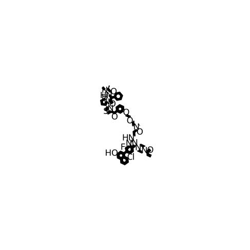 C=CC(=O)N1CCN(c2nc(NCCC(=O)N(C)CCOCCOc3cccc(C(=O)c4csc([C@@H]5CCCN5C(=O)C(NC(=O)[C@H](C)NC)C5CCCCC5)n4)c3)nc3c(F)c(-c4cc(O)cc5ccccc45)c(Cl)cc23)CC1